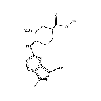 CC(=O)O[C@@H]1CN(C(=O)OC(C)(C)C)CC[C@H]1Nc1ncc2c(I)nc(C(C)C)n2n1